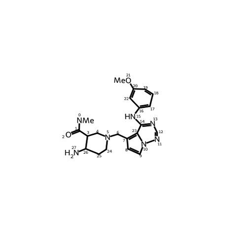 CNC(=O)C1CN(Cc2ccn3ncnc(Nc4cccc(OC)c4)c23)CCC1N